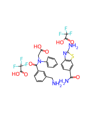 NC(=O)c1ccc2nc(N)sc2c1.NCc1cccc(C(=O)N(CC(=O)O)c2ccccc2)c1.O=C(O)C(F)(F)F.O=C(O)C(F)(F)F